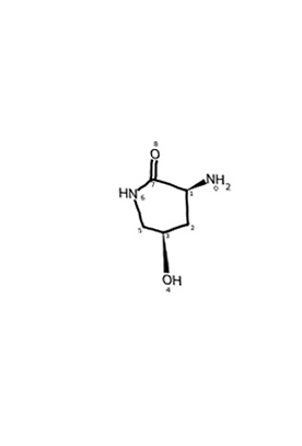 N[C@H]1C[C@@H](O)CNC1=O